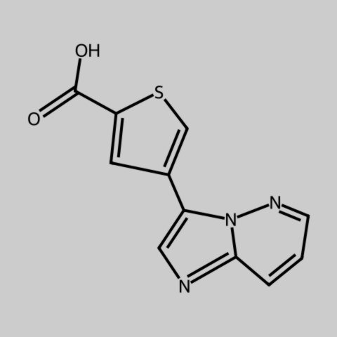 O=C(O)c1cc(-c2cnc3cccnn23)cs1